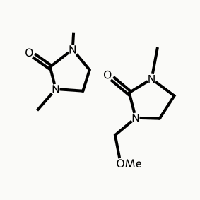 CN1CCN(C)C1=O.COCN1CCN(C)C1=O